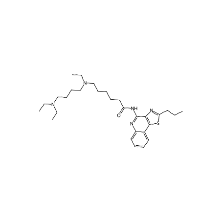 CCCc1nc2c(NC(=O)CCCCCN(CC)CCCCN(CC)CC)nc3ccccc3c2s1